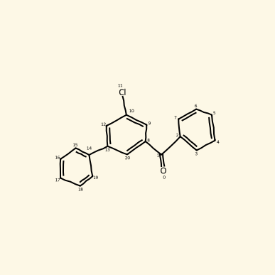 O=C(c1ccccc1)c1cc(Cl)cc(-c2ccccc2)c1